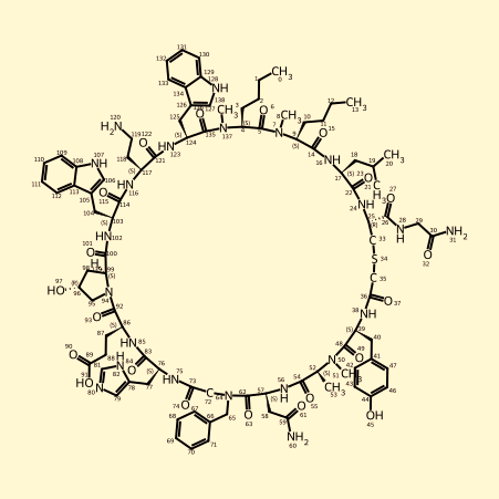 CCCC[C@H]1C(=O)N(C)[C@@H](CCCC)C(=O)N[C@@H](CC(C)C)C(=O)N[C@H](C(=O)NCC(N)=O)CSCC(=O)N[C@@H](Cc2ccc(O)cc2)C(=O)N(C)[C@@H](C)C(=O)N[C@@H](CC(N)=O)C(=O)N(Cc2ccccc2)CC(=O)N[C@@H](Cc2cnc[nH]2)C(=O)N[C@@H](CCC(=O)O)C(=O)N2C[C@H](O)C[C@H]2C(=O)N[C@@H](Cc2c[nH]c3ccccc23)C(=O)N[C@@H](CCN)C(=O)N[C@@H](Cc2c[nH]c3ccccc23)C(=O)N1C